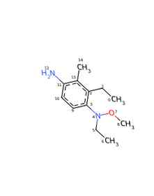 CCc1c(N(CC)OC)ccc(N)c1C